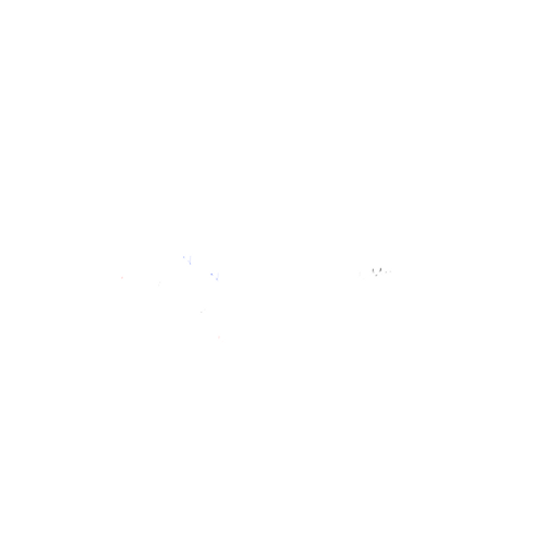 C=C/C=C\C=C(/C=C)N1C(=O)C(C)C(=O)N1/C(C=C)=C/C=C(\C)OC